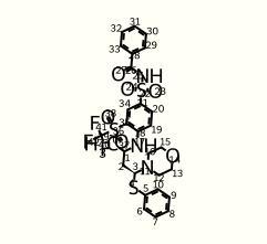 CC(C[C@H](Sc1ccccc1)N1CCOCC1)Nc1ccc(S(=O)(=O)NC(=O)c2ccccc2)cc1S(=O)(=O)C(F)(F)F